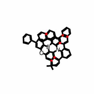 CC(C)(C)c1cc2c3c(c1)N(c1c(-c4ccccc4)cccc1-c1ccccc1)c1cc(-c4ccccc4)cc(-c4ccccc4)c1B3c1c(cc(-c3ccccc3)cc1-c1ccccc1)O2